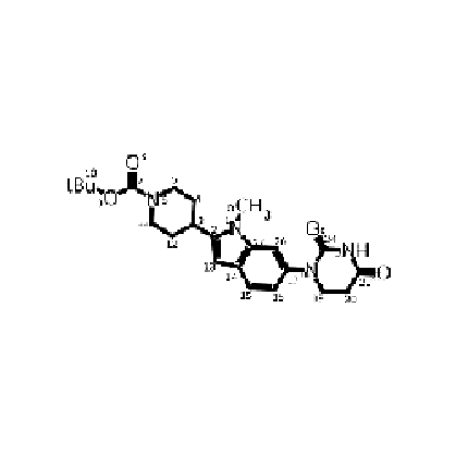 Cn1c(C2CCN(C(=O)OC(C)(C)C)CC2)cc2ccc(N3CCC(=O)NC3=O)cc21